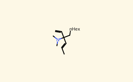 C=CC(C=CC)(CCCCCCC)N(C)C